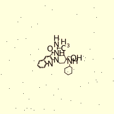 CC(=N)NC(=O)c1cc2ccccc2nc1N1CCC(CO)(NC2CCCCC2)CC1